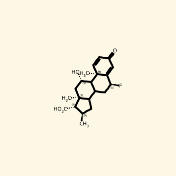 C[C@@H]1CC2C3C[C@H](F)C4=CC(=O)C=C[C@]4(C)C3[C@@H](O)C[C@]2(C)[C@H]1C(=O)O